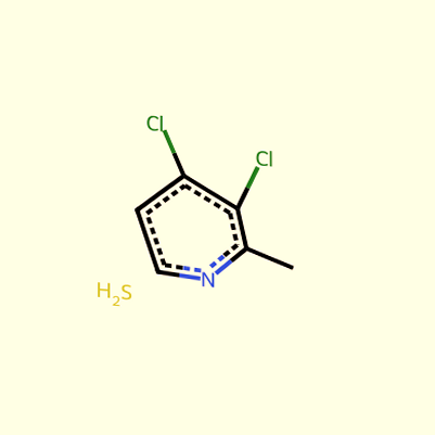 Cc1nccc(Cl)c1Cl.S